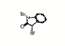 O=C1C(Br)c2ccccc2N1Br